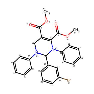 COC(=O)C1=C(C(=O)OC)N(c2ccccc2)C(c2cccc(Br)c2)N(c2ccccc2)C1